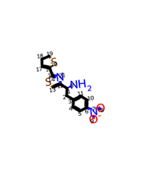 N[C@@H](Cc1ccc([N+](=O)[O-])cc1)c1csc(C2=CCCS2)n1